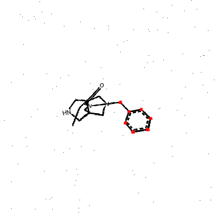 O=C1N(Cc2ccccc2)CC23CNCC12CN(Cc1ccccc1)C3